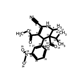 COC(=O)C1=C(C#N)NC(C)C(C(=O)O)(C(C)C)C1c1cccc([N+](=O)[O-])c1